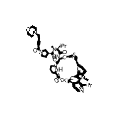 CC(C)c1ncccc1-c1c2c3cc(ccc3n1C)-c1csc(n1)C[C@H](NC(=O)[C@H](C(C)C)N(C)C(=O)[C@H]1CCN(C(=O)C#CCN3CCOCC3)C1)C(=O)N1CCC[C@H](N1)C(=O)OCC(C)(C)C2